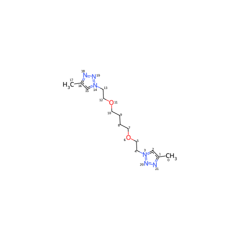 Cc1cn(CCOCCCCOCCn2cc(C)nn2)nn1